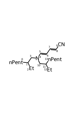 CCCCCC(CC)CN(/C=C/C=C/C#N)CC(CC)CCCCC